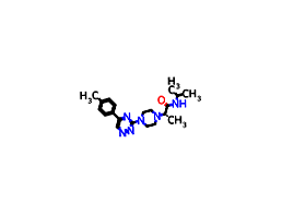 Cc1ccc(-c2cnnc(N3CCN([C@@H](C)C(=O)NC(C)C)CC3)n2)cc1